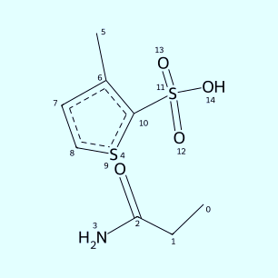 CCC(N)=O.Cc1ccsc1S(=O)(=O)O